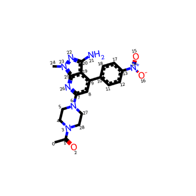 CC(=O)N1CCN(c2cc(-c3ccc([N+](=O)[O-])cc3)c3c(N)nn(C)c3n2)CC1